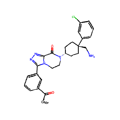 COC(=O)c1cccc(-c2nnc3n2CCN([C@H]2CC[C@@](CN)(c4cccc(Cl)c4)CC2)C3=O)c1